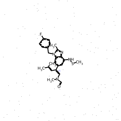 CSNc1cc(/C(C=C(C)C)=C/N(C)C=O)cc2c1nc(C)n2Cc1ccc(F)cc1